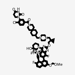 COCOc1cc(-c2ccc3c(N4CCC[C@@](C)(O)C4)nc(OCC4(CN5CCN(CC6CCC7(CC6)CCN(C(=O)c6ccc(Cl)c(N8CCC(=O)NC8=O)c6)CC7)CC5)CC4)nc3c2F)c2c(C#C[Si](C(C)C)(C(C)C)C(C)C)c(F)ccc2c1